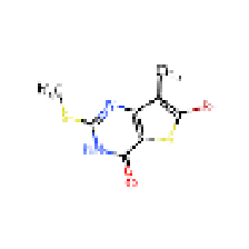 CSc1nc2c(C)c(Br)sc2c(=O)[nH]1